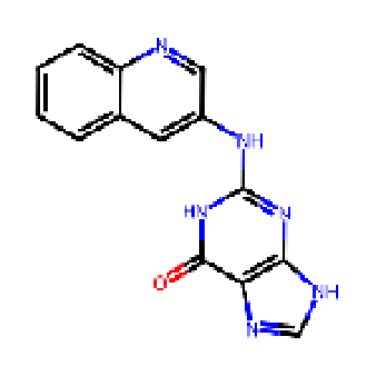 O=c1[nH]c(Nc2cnc3ccccc3c2)nc2[nH]cnc12